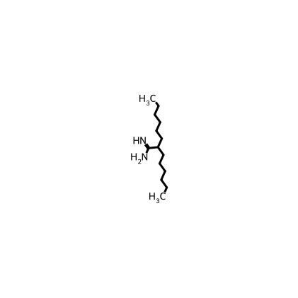 CCCCCCC(CCCCCC)C(=N)N